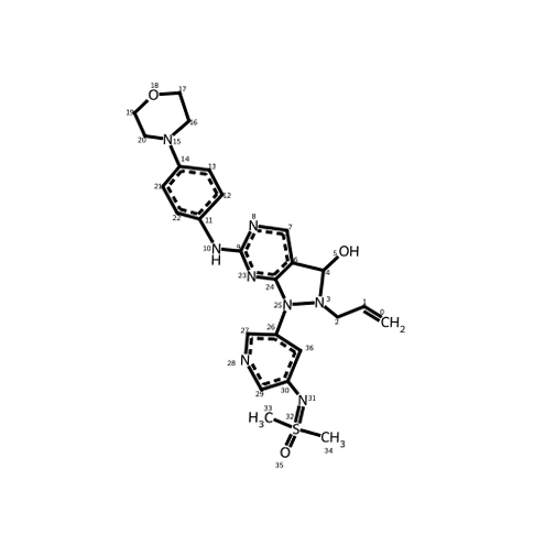 C=CCN1C(O)c2cnc(Nc3ccc(N4CCOCC4)cc3)nc2N1c1cncc(N=S(C)(C)=O)c1